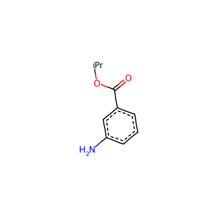 CC(C)OC(=O)c1cccc(N)c1